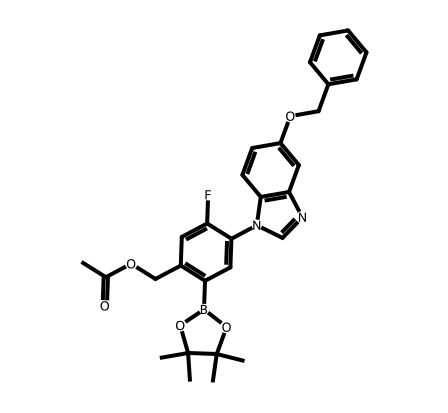 CC(=O)OCc1cc(F)c(-n2cnc3cc(OCc4ccccc4)ccc32)cc1B1OC(C)(C)C(C)(C)O1